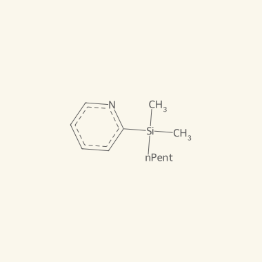 CCCCC[Si](C)(C)c1ccccn1